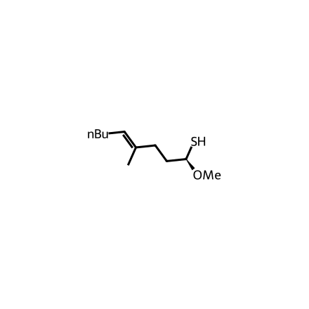 CCCC/C=C(\C)CC[C@@H](S)OC